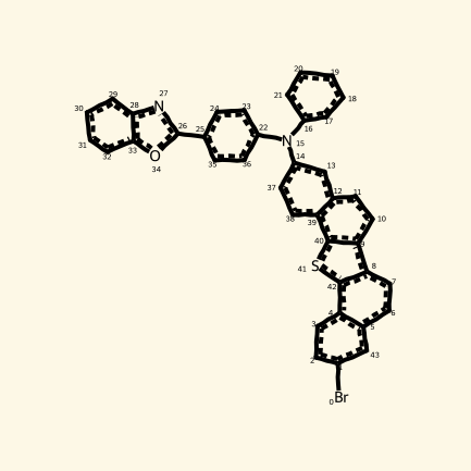 Brc1ccc2c(ccc3c4ccc5cc(N(c6ccccc6)c6ccc(-c7nc8ccccc8o7)cc6)ccc5c4sc23)c1